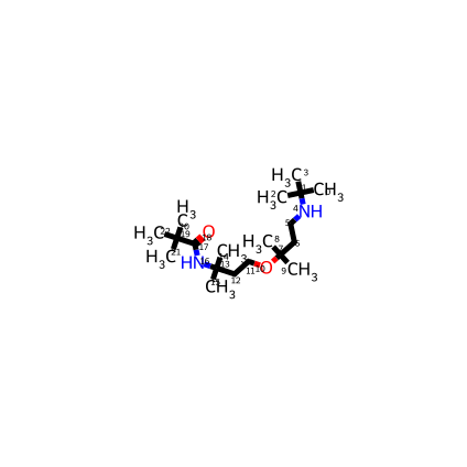 CC(C)(C)NCCC(C)(C)OCCC(C)(C)NC(=O)C(C)(C)C